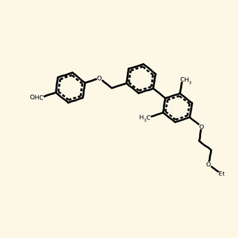 CCOCCOc1cc(C)c(-c2cccc(COc3ccc(C=O)cc3)c2)c(C)c1